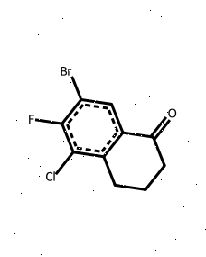 O=C1CCCc2c1cc(Br)c(F)c2Cl